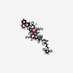 CC[C@H](C)[C@@H]([C@@H](CC(=O)N1CCC[C@H]1[C@H](OC)[C@@H](C)C(=O)N[C@@]1(C(=O)N2CCCCO2)C[C@@H]1c1ccccc1)OC)N(C)[C@H](C(=O)NC(=O)[C@H](C(C)C)N(C)CCCC(=O)NCCN(C)C(=O)CCCN1C(=O)C=CC1=O)C(C)C